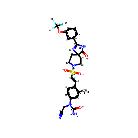 Cc1cc(N(CC#N)C(N)=O)ccc1/C=C/S(=O)(=O)N1CCC2(CC1)N=C(c1cccc(OC(F)(F)F)c1)NC2=O